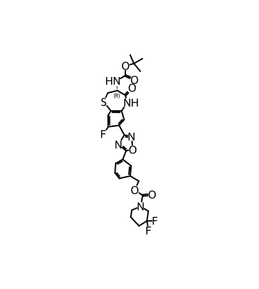 CC(C)(C)OC(=O)N[C@H]1CSc2cc(F)c(-c3noc(-c4cccc(COC(=O)N5CCCC(F)(F)C5)c4)n3)cc2NC1=O